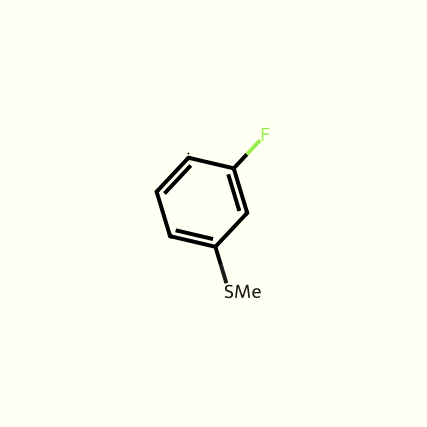 CSc1cc[c]c(F)c1